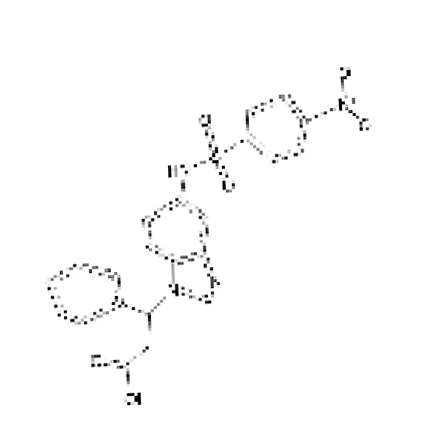 O=C(O)CC(c1ccccc1)n1cnc2cc(NS(=O)(=O)c3ccc([N+](=O)[O-])cc3)ccc21